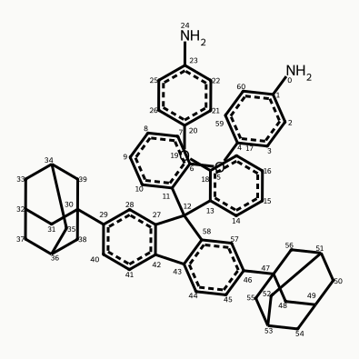 Nc1ccc(Oc2ccccc2C2(c3ccccc3Oc3ccc(N)cc3)c3cc(C45CC6CC(CC(C6)C4)C5)ccc3-c3ccc(C45CC6CC(CC(C6)C4)C5)cc32)cc1